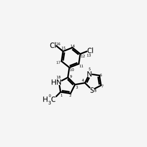 Cc1cc(-c2nccs2)c(-c2cc(Cl)cc(Cl)c2)[nH]1